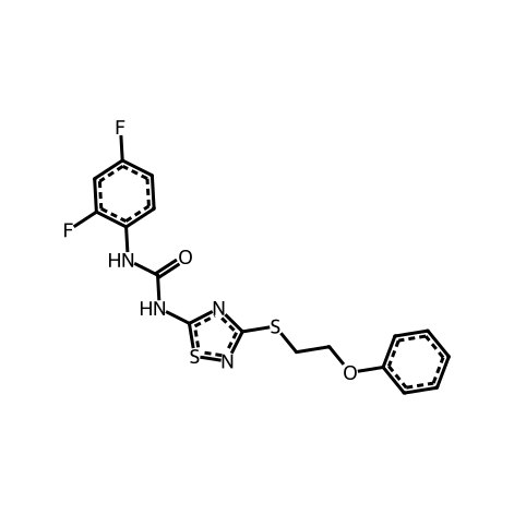 O=C(Nc1nc(SCCOc2ccccc2)ns1)Nc1ccc(F)cc1F